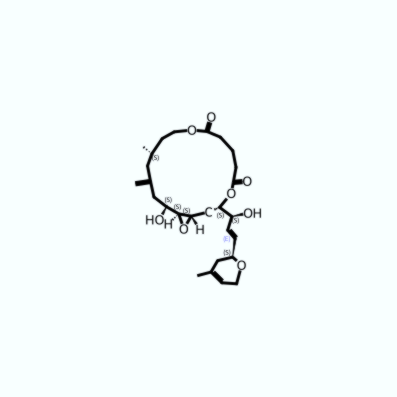 C=C1C[C@H](C)CCOC(=O)CCCC(=O)O[C@H]([C@@H](O)/C=C/[C@@H]2CC(C)=CCO2)C[C@@H]2O[C@H]2[C@@H](O)C1